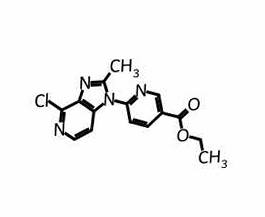 CCOC(=O)c1ccc(-n2c(C)nc3c(Cl)nccc32)nc1